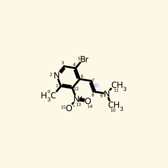 Cc1ncc(Br)c(/C=C/N(C)C)c1[N+](=O)[O-]